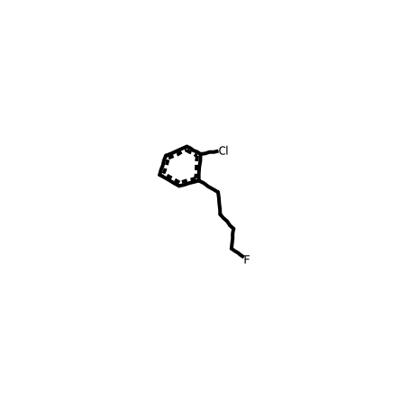 FCCCCc1ccccc1Cl